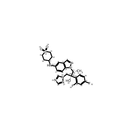 C[C@@H](n1ncc2cc(NC3CCS(=O)(=O)CC3)ccc21)[C@](O)(Cn1cncn1)c1ccc(F)cc1F